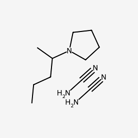 CCCC(C)N1CCCC1.N#CN.N#CN